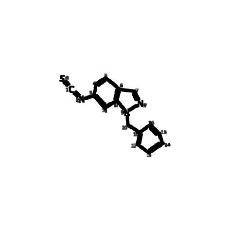 S=C=Nc1ccc2cnn(Cc3ccccc3)c2c1